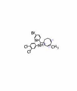 CC1=C/C=C(/C(Nc2ccc(Cl)c(Cl)c2)c2ccc(Br)cn2)CC/C=C\1